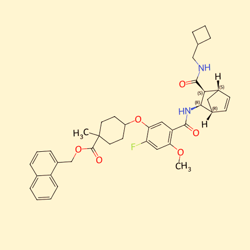 COc1cc(F)c(OC2CCC(C)(C(=O)OCc3cccc4ccccc34)CC2)cc1C(=O)N[C@H]1[C@@H](C(=O)NCC2CCC2)[C@@H]2C=C[C@H]1C2